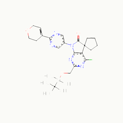 CC(C)(C)[Si](C)(C)OCc1nc(Cl)c2c(n1)N(c1cnc(C3=CCOCC3)nc1)C(=O)C21CCCC1